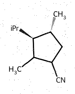 CC(C)[C@@H]1C(C)C(C#N)C[C@H]1C